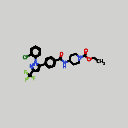 CCOC(=O)N1CCC(NC(=O)c2ccc(-c3cc(C(F)(F)F)nn3-c3ccccc3Cl)cc2)CC1